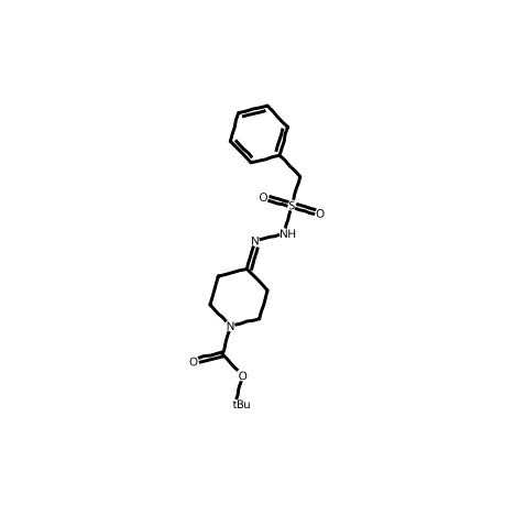 CC(C)(C)OC(=O)N1CCC(=NNS(=O)(=O)Cc2ccccc2)CC1